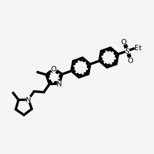 CCS(=O)(=O)c1ccc(-c2ccc(-c3nc(CCN4CCCC4C)c(C)o3)cc2)cc1